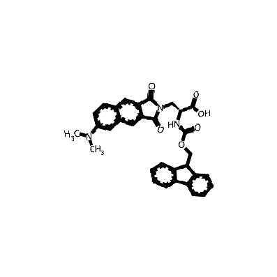 CN(C)c1ccc2cc3c(cc2c1)C(=O)N(C[C@H](NC(=O)OCC1c2ccccc2-c2ccccc21)C(=O)O)C3=O